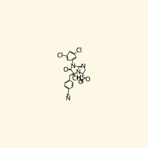 C[C@@]1(Cc2ccc(C#N)cc2)C(=O)N(c2cc(Cl)cc(Cl)c2)C2=NCC([SH](=O)=O)N21